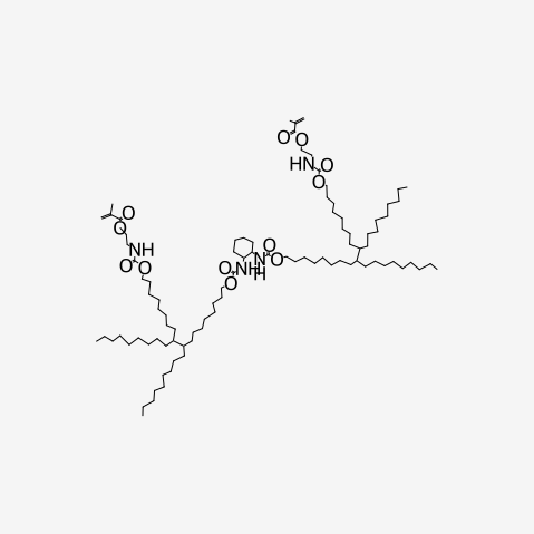 C=C(C)C(=O)OCCNC(=O)OCCCCCCCCC(CCCCCCCCC)C(CCCCCCCCC)CCCCCCCCOC(=O)NC1CCCCC1NC(=O)OCCCCCCCCC(CCCCCCCCC)C(CCCCCCCCC)CCCCCCCCOC(=O)NCCOC(=O)C(=C)C